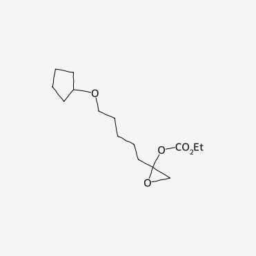 CCOC(=O)OC1(CCCCCOC2CCCC2)CO1